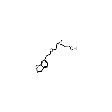 CN(CCO)CCOCCc1ccc2ccsc2c1